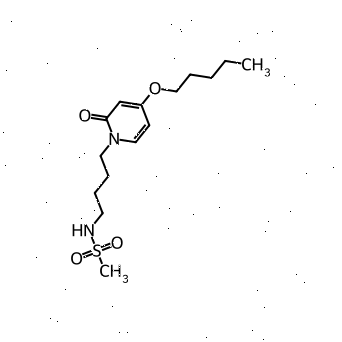 CCCCCOc1ccn(CCCCNS(C)(=O)=O)c(=O)c1